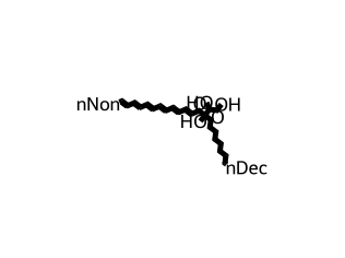 CCCCCCCCCC=CC=CC=CC=CC=CC=CC(=O)C(O)(C(=O)CCCCCCCCCCCCCCCCC)C(O)CO